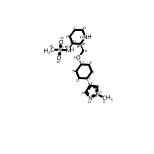 Cn1cc([C@H]2CC[C@@H](OC[C@@H]3NCCC[C@@H]3NS(C)(=O)=O)CC2)cn1